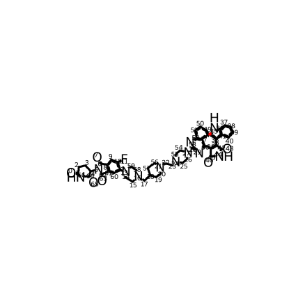 O=C1CCC(N2C(=O)c3cc(F)c(N4CCN(CC5CCN(CCN6CCN(c7nc(C8=C(c9c[nH]c%10ccccc9%10)C(=O)NC8=O)c8ccccc8n7)CC6)CC5)CC4)cc3C2=O)C(=O)N1